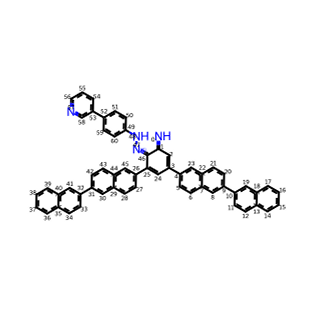 N=C1C=C(c2ccc3cc(-c4ccc5ccccc5c4)ccc3c2)C=C(c2ccc3cc(-c4ccc5ccccc5c4)ccc3c2)/C1=N/Nc1ccc(-c2cccnc2)cc1